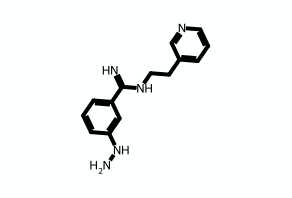 N=C(NCCc1cccnc1)c1cccc(NN)c1